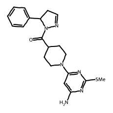 CSc1nc(N)cc(N2CCC(C(=O)N3N=CCC3c3ccccc3)CC2)n1